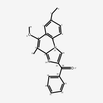 CCc1ccc2c(c1)c(OC)c(C)c1nc(C(=O)c3ccccc3)cn12